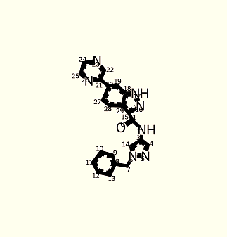 O=C(Nc1cnn(Cc2ccccc2)c1)c1n[nH]c2cc(-c3cnccn3)ccc12